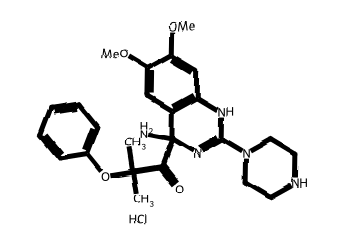 COc1cc2c(cc1OC)C(N)(C(=O)C(C)(C)Oc1ccccc1)N=C(N1CCNCC1)N2.Cl